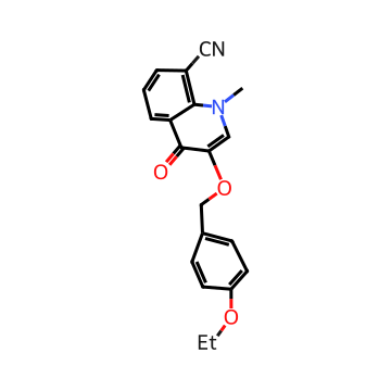 CCOc1ccc(COc2cn(C)c3c(C#N)cccc3c2=O)cc1